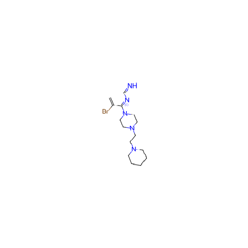 C=C(Br)/C(=N\C=N)N1CCN(CCN2CCCCC2)CC1